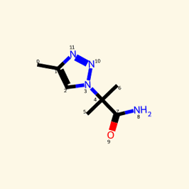 Cc1cn(C(C)(C)C(N)=O)nn1